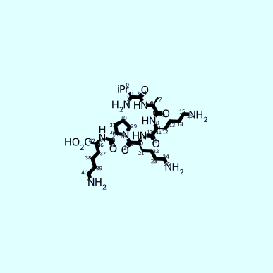 CC(C)[C@H](N)C(=O)N[C@@H](C)C(=O)N[C@@H](CCCCN)C(=O)N[C@@H](CCCCN)C(=O)N1CCC[C@H]1C(=O)N[C@@H](CCCCN)C(=O)O